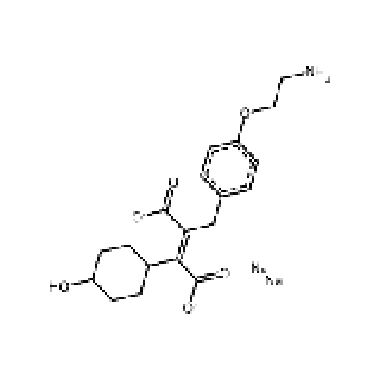 NCCOc1ccc(CC(C(=O)[O-])=C(C(=O)[O-])C2CCC(O)CC2)cc1.[Na+].[Na+]